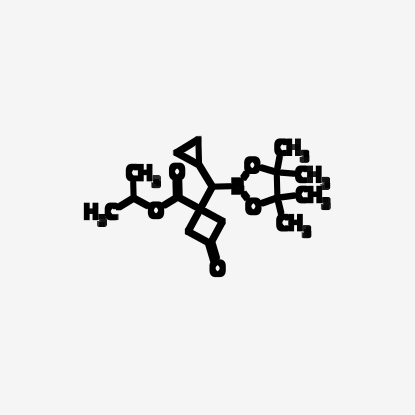 CC(C)OC(=O)C1(C(B2OC(C)(C)C(C)(C)O2)C2CC2)CC(=O)C1